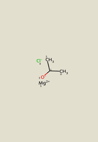 CC(C)[O-].[Cl-].[Mg+2]